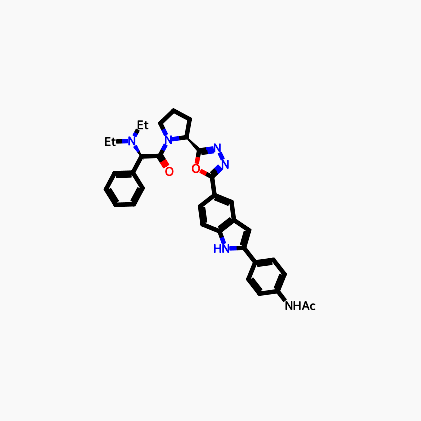 CCN(CC)[C@@H](C(=O)N1CCC[C@H]1c1nnc(-c2ccc3[nH]c(-c4ccc(NC(C)=O)cc4)cc3c2)o1)c1ccccc1